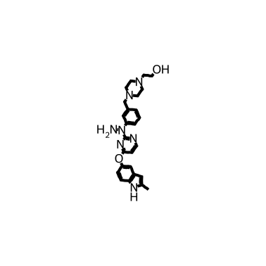 Cc1cc2cc(Oc3ccnc(N(N)c4cccc(CN5CCN(CCO)CC5)c4)n3)ccc2[nH]1